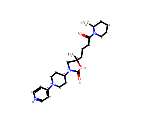 CC1(CCCC(=O)N2CCCCC2C(=O)O)CN(C2CCN(c3ccncc3)CC2)C(=O)O1